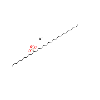 CCCCCCCCCCCCCCCCCCC(CCCCCCCCC)S(=O)(=O)[O-].[K+]